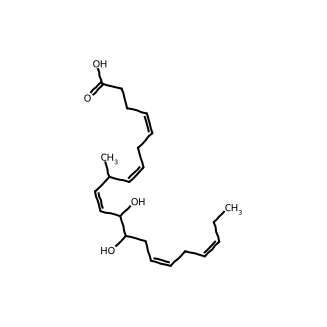 CC/C=C\C/C=C\CC(O)C(O)/C=C\C(C)/C=C\C/C=C\CCC(=O)O